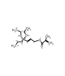 C=C(C)C(=O)OCC=C[Si](OCC)(OCC)OCC